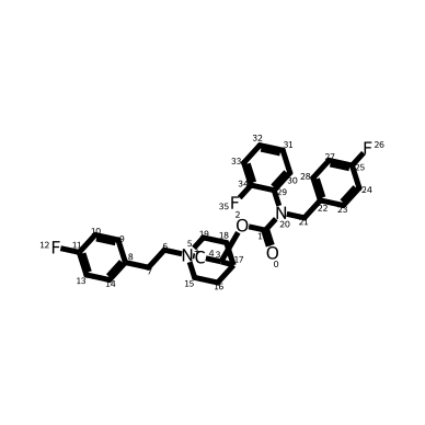 O=C(OC1C[N+]2(CCc3ccc(F)cc3)CCC1CC2)N(Cc1ccc(F)cc1)c1ccccc1F